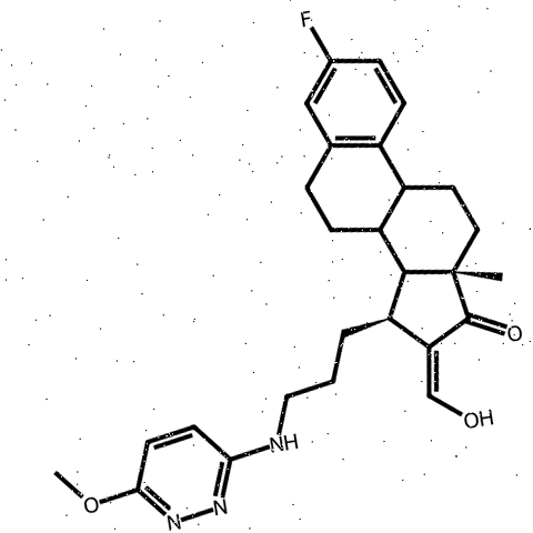 COc1ccc(NCCC[C@@H]2/C(=C/O)C(=O)[C@@]3(C)CCC4c5ccc(F)cc5CCC4C23)nn1